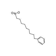 O=[N+]([O-])CCCCCCCCCc1ccccc1